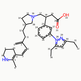 C=C(/C=C\C1=C(C)NCCC1)CCC1CCN(CC(CC(=O)O)c2cccc(-n3nc(CC)cc3CC)c2)C1